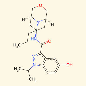 CCCCN1[C@@H]2COC[C@H]1C[C@@H](NC(=O)c1nn(C(C)C)c3ccc(O)cc13)C2